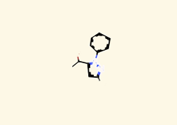 CC(Br)c1cc(C(=O)O)nn1-c1ccccc1